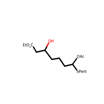 CCCCCC(CCCC(O)CC(=O)OCC)OC(C)=O